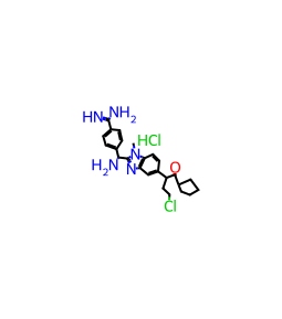 Cl.Cn1c(C(N)c2ccc(C(=N)N)cc2)nc2cc(C(CCCl)C(=O)C3CCCC3)ccc21